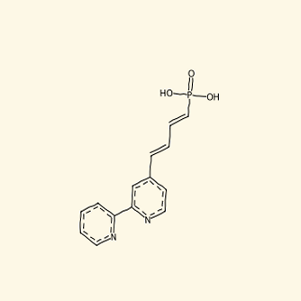 O=P(O)(O)/C=C/C=C/c1ccnc(-c2ccccn2)c1